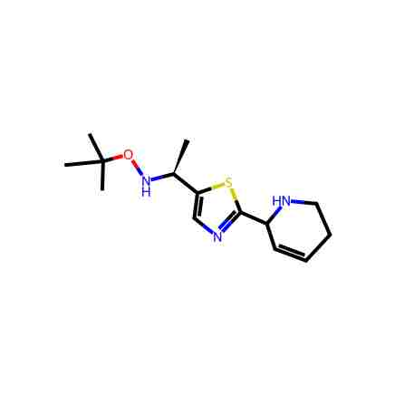 C[C@H](NOC(C)(C)C)c1cnc(C2C=CCCN2)s1